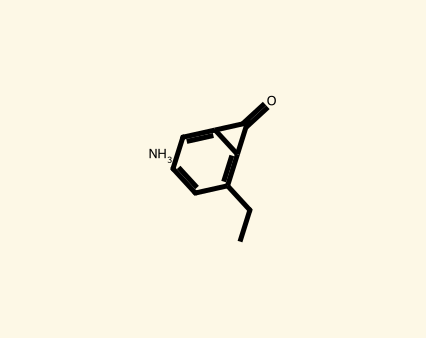 CCc1cccc2c(=O)c12.N